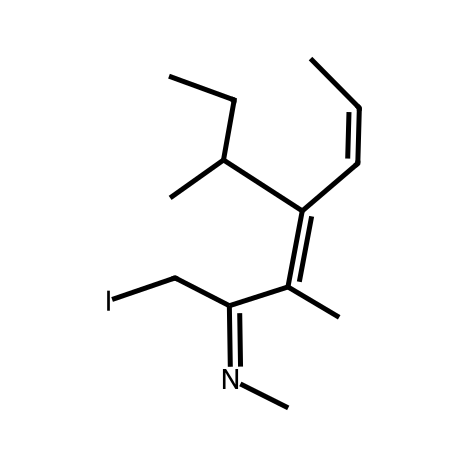 C\C=C/C(=C(C)/C(CI)=N\C)C(C)CC